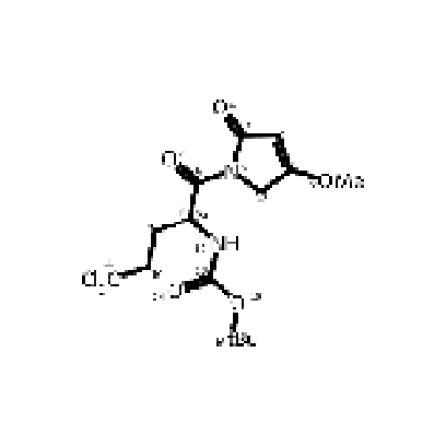 COC1=CC(=O)N(C(=O)[C@H](CCC(Cl)(Cl)Cl)NC(=O)OC(C)(C)C)C1